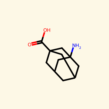 NC12CC3CC(C1)CC(C(=O)O)(C3)C2